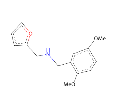 COc1ccc(OC)c(CNCc2ccco2)c1